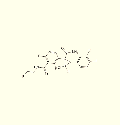 NC(=O)C1(c2ccc(F)c(C(=O)NCCF)c2F)C(c2ccc(F)c(Cl)c2)C1(Cl)Cl